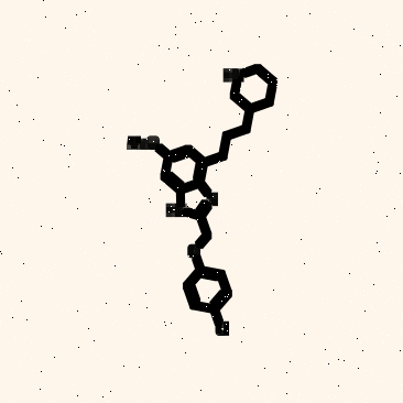 COc1cc(CCCC2CCCNC2)c2nc(COc3ccc(Cl)cc3)[nH]c2c1